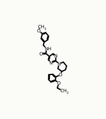 CCOc1ccccc1OC1CCCN(c2ncc(C(=O)NCc3cccc(OC)c3)cn2)C1